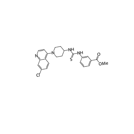 COC(=O)c1cccc(NC(=S)NC2CCN(c3ccnc4cc(Cl)ccc34)CC2)c1